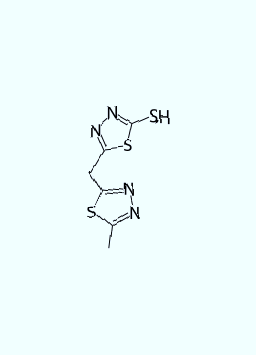 Cc1nnc(Cc2nnc(S)s2)s1